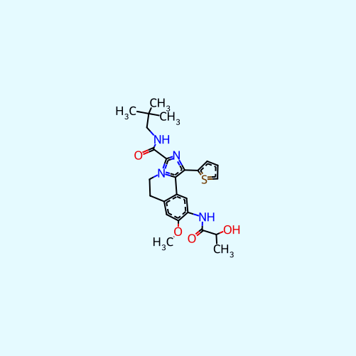 COc1cc2c(cc1NC(=O)C(C)O)-c1c(-c3cccs3)nc(C(=O)NCC(C)(C)C)n1CC2